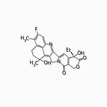 CC[C@@]1(O)C(=O)OCc2c1cc1n(c2=O)Cc2c-1nc1cc(F)c(C)c3c1c2C(C)(O)CC3